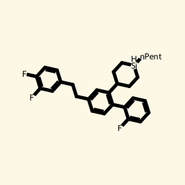 CCCCC[SiH]1CCC(c2cc(CCc3ccc(F)c(F)c3)ccc2-c2ccccc2F)CC1